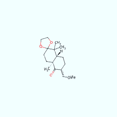 CO/C=C1\CC[C@H]2C(C)(C)C3(CC[C@]2(C)C1=O)OCCO3